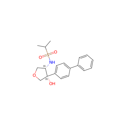 CC(C)S(=O)(=O)N[C@H]1COC[C@]1(O)c1ccc(-c2ccccc2)cc1